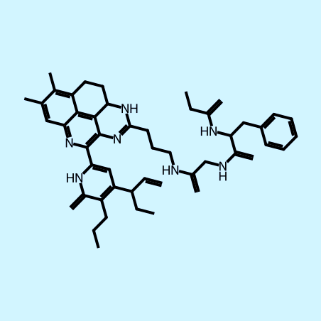 C=CC(CC)C1=C(CCC)C(=C)NC(c2nc3cc(C)c(C)c4c3c3c2N=C(CCCNC(=C)CNC(=C)C(Cc2ccccc2)NC(=C)CC)NC3CC4)=C1